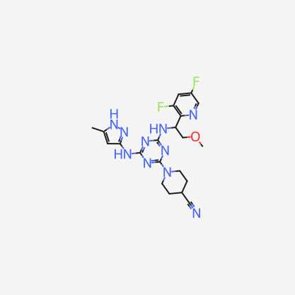 COCC(Nc1nc(Nc2cc(C)[nH]n2)nc(N2CCC(C#N)CC2)n1)c1ncc(F)cc1F